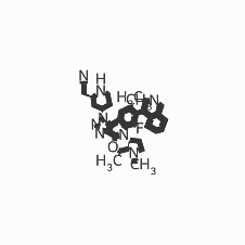 Cc1cc2c(nc(O[C@@H](C)[C@@H]3CCCN3C)c3nnn([C@H]4CCN[C@H](CC#N)C4)c32)c(F)c1-c1c(C)ncc2ccccc12